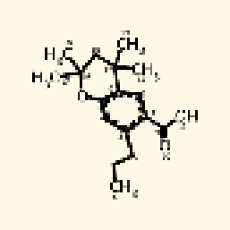 CCCc1cc2c(cc1C(=O)O)C(C)(C)CC(C)(C)O2